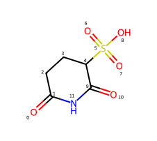 O=C1CCC(S(=O)(=O)O)C(=O)N1